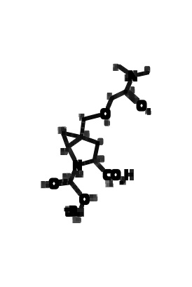 CN(C)C(=O)COCC12CC(C(=O)O)N(C(=O)OC(C)(C)C)C1C2